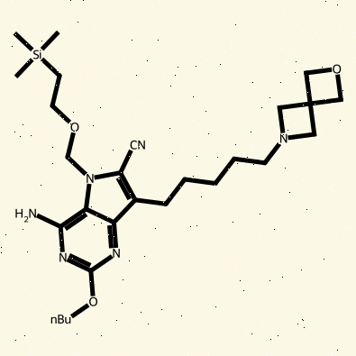 CCCCOc1nc(N)c2c(n1)c(CCCCCN1CC3(COC3)C1)c(C#N)n2COCC[Si](C)(C)C